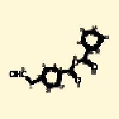 O=CCc1ccc(C(=O)OC(=O)c2ccccc2)cc1